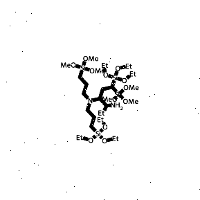 CCO[Si](CCCN(CCC[Si](OC)(OC)OC)C(CC([Si](OC)(OC)OC)[Si](OCC)(OCC)OCC)C(N)CC)(OCC)OCC